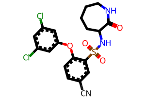 N#Cc1ccc(Oc2cc(Cl)cc(Cl)c2)c(S(=O)(=O)NC2CCCCNC2=O)c1